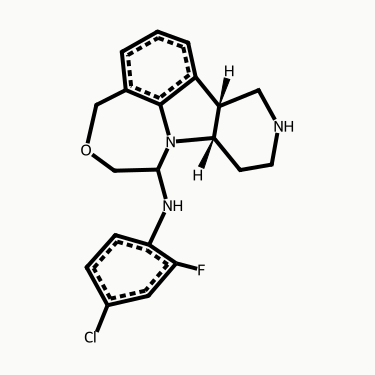 Fc1cc(Cl)ccc1NC1COCc2cccc3c2N1[C@H]1CCNC[C@@H]31